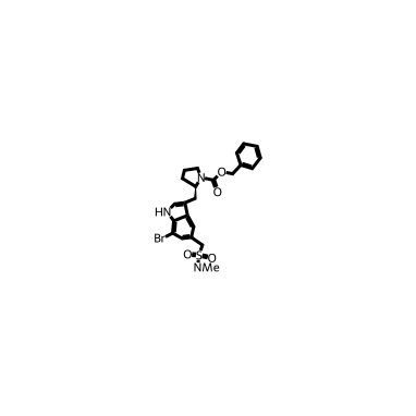 CNS(=O)(=O)Cc1cc(Br)c2[nH]cc(C[C@H]3CCCN3C(=O)OCc3ccccc3)c2c1